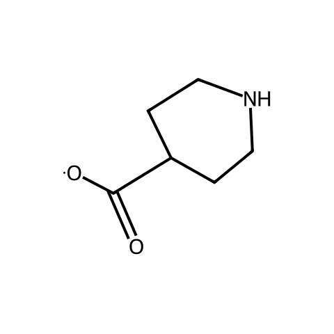 [O]C(=O)C1CCNCC1